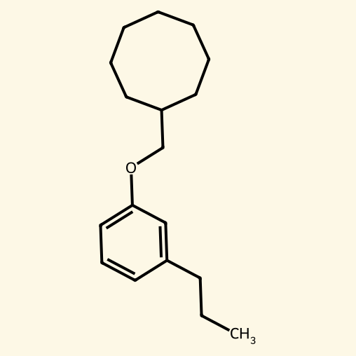 CCCc1cccc(OCC2CCCCCCC2)c1